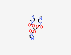 C=N/C=C\N(C)C(=O)OCC(COC(=O)N(C)/C=C\N=C)OC(=O)n1ccnc1